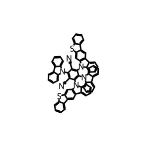 N#Cc1c(-n2c3ccccc3c3ccccc32)c(C#N)c(-n2c3ccccc3c3cc4c(cc32)sc2ccccc24)c(-n2c3ccccc3c3ccccc32)c1-n1c2ccccc2c2cc3c(cc21)sc1ccccc13